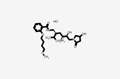 COCCCCOc1ccccc1C(=O)NC[C@@H](C[C@H](N)[C@@H](O)CN1CC(O)CC1=O)C(C)C.Cl